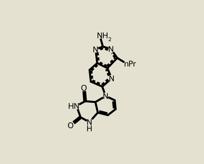 CCCc1nc(N)nc2ccc(N3C=CC=C4NC(=O)NC(=O)C43)nc12